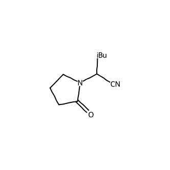 CCC(C)C(C#N)N1CCCC1=O